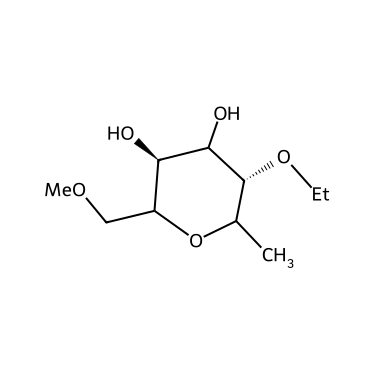 CCO[C@@H]1C(C)OC(COC)[C@@H](O)C1O